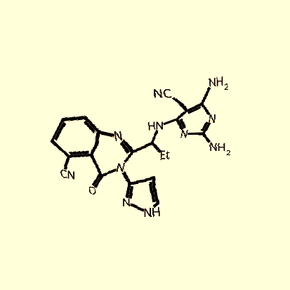 CCC(Nc1nc(N)nc(N)c1C#N)c1nc2cccc(C#N)c2c(=O)n1-c1cc[nH]n1